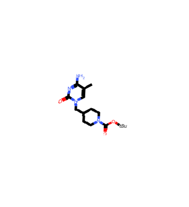 Cc1cn(CC2CCN(C(=O)OC(C)(C)C)CC2)c(=O)nc1N